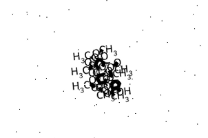 CC(=O)OC[C@H]1O[C@H](O[C@H]2[C@H](OC(C)=O)[C@@H](OC(C)=O)[C@H](Oc3cccc(O)c3C(C)=O)O[C@@H]2COC(C)=O)[C@H](OC(C)=O)[C@@H](OC(C)=O)[C@@H]1OC(C)=O